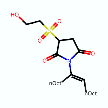 CCCCCCCCC=C(CCCCCCCC)N1C(=O)CC(S(=O)(=O)CCO)C1=O